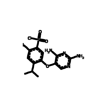 CC(C)c1cc(I)c(S(=O)(=O)Cl)cc1Oc1cnc(N)nc1N